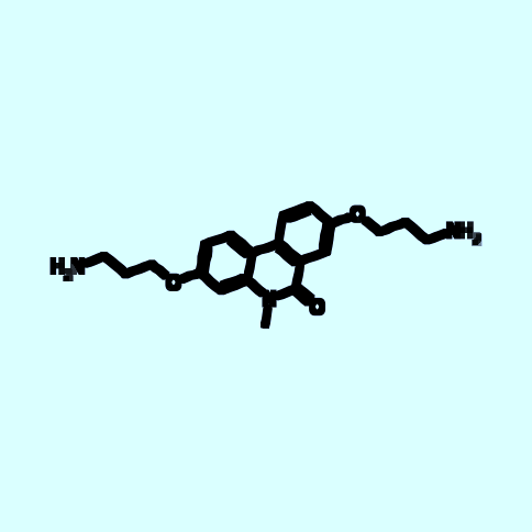 Cn1c(=O)c2cc(OCCCN)ccc2c2ccc(OCCCN)cc21